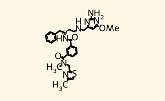 COc1cc(CNCC[C@H](Cc2ccccc2)NC(=O)c2cccc(C(=O)N(C)Cc3nc(C)cs3)c2)nc(N)n1